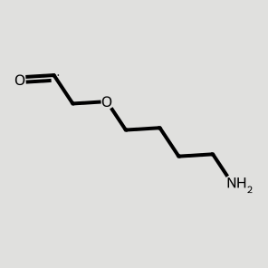 NCCCCOC[C]=O